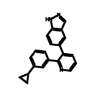 c1cc(-c2ncccc2-c2ccc3[nH]ncc3c2)cc(C2CC2)c1